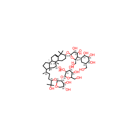 C[C@H](CC[C@@H](O[C@@H]1OC[C@@H](O)[C@H](O)[C@H]1O[C@H]1OC(CO)[C@H](O)[C@@H](O)[C@@H]1O)C(C)(C)O)C1CC[C@@]2(C)C3CC=C4C(CC[C@H](O[C@@H]5O[C@H](CO)C([C@@H]6C[C@H](CO)[C@@H](O)[C@H](O)[C@H]6O)[C@H](O)[C@H]5O)C4(C)C)[C@]3(C)[C@H](O)C[C@]12C